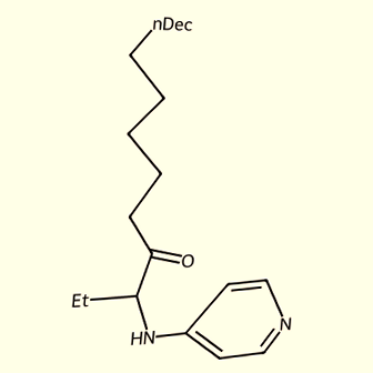 CCCCCCCCCCCCCCCC(=O)C(CC)Nc1ccncc1